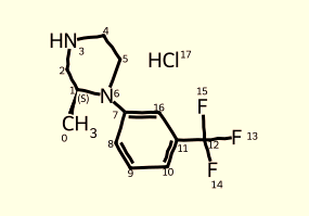 C[C@H]1CNCCN1c1cccc(C(F)(F)F)c1.Cl